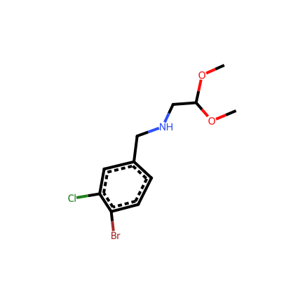 COC(CNCc1ccc(Br)c(Cl)c1)OC